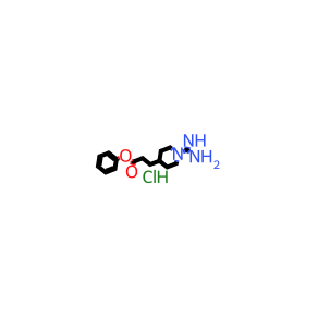 Cl.N=C(N)N1CCC(CCC(=O)Oc2ccccc2)CC1